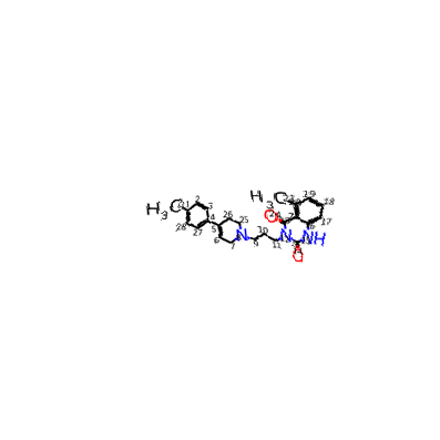 Cc1ccc(C2=CCN(CCCn3c(=O)[nH]c4cccc(C)c4c3=O)CC2)cc1